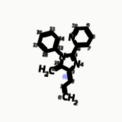 C=C/C=c1/nc(-c2ccccn2)n(-c2ccccc2)c1=C